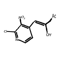 CC(=O)C(O)=Cc1ccnc(Cl)c1[N+](=O)[O-]